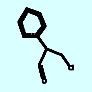 O=CC(CCl)c1ccccc1